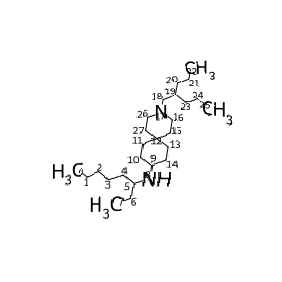 CCCCCC(CC)NC1CCC2(CC1)CCN(CC(CCC)CCC)CC2